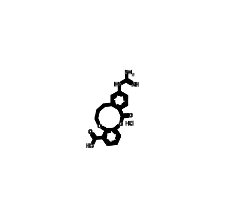 Cl.N=C(N)Nc1ccc2c(c1)CCCOc1c(cccc1C(=O)O)OC2=O